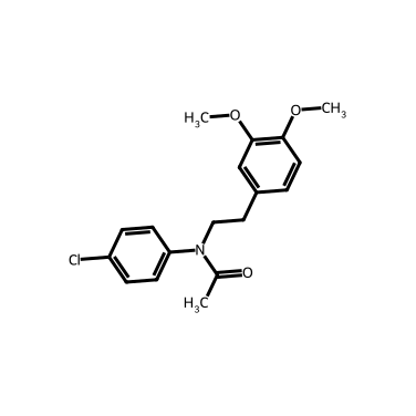 COc1ccc(CCN(C(C)=O)c2ccc(Cl)cc2)cc1OC